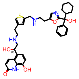 O=c1ccc2c([C@@H](O)CNCCc3csc(CNCCc4cnc(C(O)(c5ccccc5)C5CCCCC5)o4)c3)ccc(O)c2[nH]1